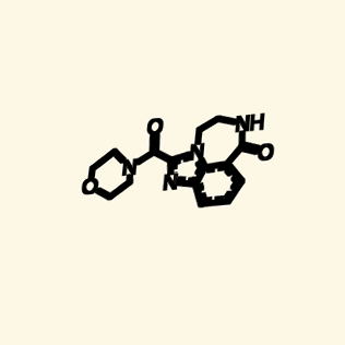 O=C1NCCn2c(C(=O)N3CCOCC3)nc3cccc1c32